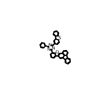 C1=CC2Sc3ccccc3C2C=C1c1nc(-c2ccccc2)nc(-c2cccc3c2oc2c4cccc5c4c(cc32)-c2ccccc2-5)n1